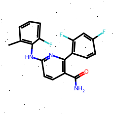 Cc1cccc(F)c1Nc1ccc(C(N)=O)c(-c2ccc(F)cc2F)n1